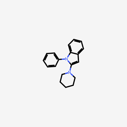 c1ccc(-n2c(N3CCCCC3)cc3ccccc32)cc1